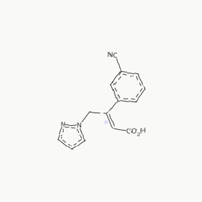 N#Cc1cccc(/C(=C\C(=O)O)Cn2cccn2)c1